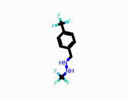 FC(F)(F)NNCc1ccc(C(F)(F)F)cc1